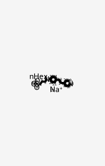 CCCCCCN(CCCS(=O)(=O)[O-])c1ccc(C=Cc2ccncc2)cc1.[Na+]